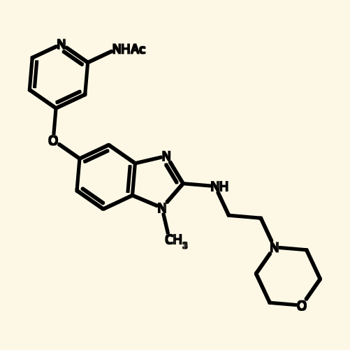 CC(=O)Nc1cc(Oc2ccc3c(c2)nc(NCCN2CCOCC2)n3C)ccn1